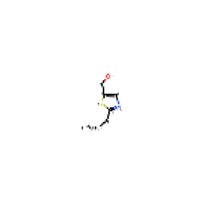 CCCCCCc1ncc(CO)s1